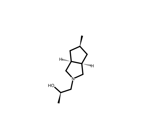 C[C@@H]1C[C@@H]2CN(C[C@@H](C)O)C[C@@H]2C1